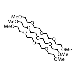 COCCOCCOCCOCCOC.COCCOCCOCCOCCOC.COCCOCCOCCOCCOC